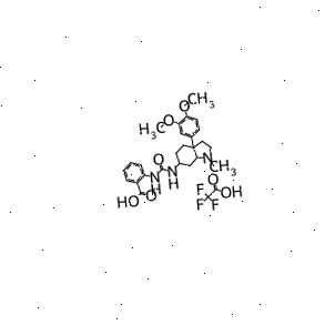 COc1ccc(C23CCC(NC(=O)Nc4ccccc4C(=O)O)CC2N(C)CC3)cc1OC.O=C(O)C(F)(F)F